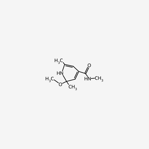 CNC(=O)C1=CC(C)(OC)NC(C)=C1